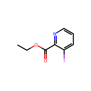 CCOC(=O)c1ncccc1I